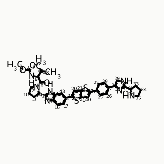 COC(=O)N[C@H](C(=O)N1CCC[C@H]1c1nc2ccc(-c3cc4sc(-c5ccc(-c6c[nH]c(C7CCCN7)n6)cc5)cc4s3)cc2[nH]1)C(C)C